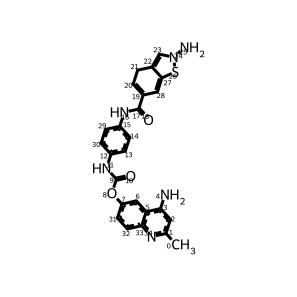 Cc1cc(N)c2cc(OC(=O)Nc3ccc(NC(=O)C4=CCC5=CN(N)SC5=C4)cc3)ccc2n1